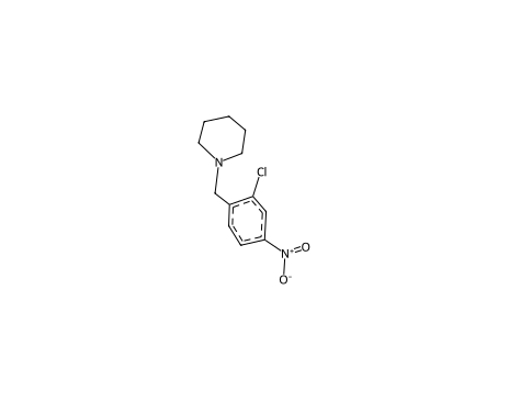 O=[N+]([O-])c1ccc(CN2CCCCC2)c(Cl)c1